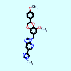 COc1ccc(C2COc3cc(Cn4cnc5cc(-c6cn(C)cn6)cnc54)cc(OC)c3O2)cc1